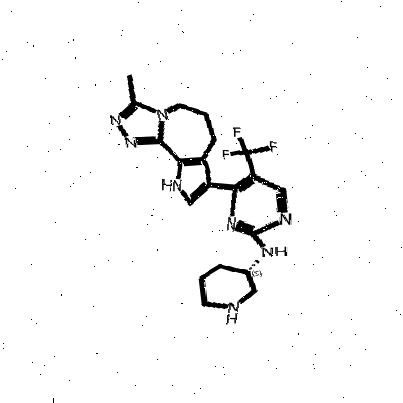 Cc1nnc2n1CCCc1c(-c3nc(N[C@H]4CCCNC4)ncc3C(F)(F)F)c[nH]c1-2